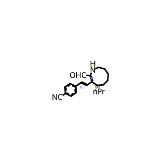 CCC[C@H]1CCCCCN/C(C=O)=C1/C=C/c1ccc(C#N)cc1